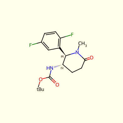 CN1C(=O)CC[C@H](NC(=O)OC(C)(C)C)[C@H]1c1cc(F)ccc1F